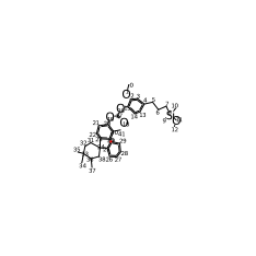 COc1cc(CCC[Si](C)(C)OC)ccc1OC(=O)Oc1ccc(C2(c3ccccc3)CCC(C)(C)C(C)C2)cc1C